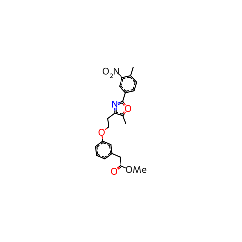 COC(=O)Cc1cccc(OCCc2nc(-c3ccc(C)c([N+](=O)[O-])c3)oc2C)c1